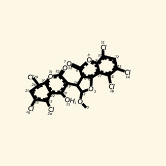 COC1Oc2c(c(=O)oc3c(Cl)cc(Cl)c(Cl)c23)C1c1c(O)c2c(Cl)c(Cl)cc(Cl)c2oc1=O